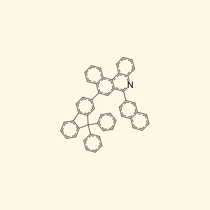 c1ccc(C2(c3ccccc3)c3ccccc3-c3ccc(-c4cc5c(-c6ccc7ccccc7c6)nc6ccccc6c5c5ccccc45)cc32)cc1